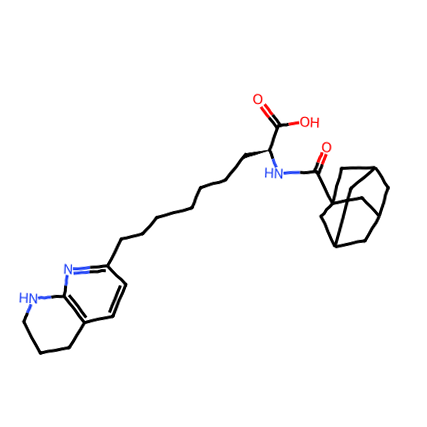 O=C(O)[C@H](CCCCCCCc1ccc2c(n1)NCCC2)NC(=O)C12CC3CC(CC(C3)C1)C2